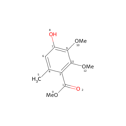 COC(=O)c1c(C)cc(O)c(OC)c1OC